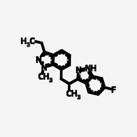 CCc1nn(C)c2c(CC(C)c3n[nH]c4cc(F)ccc34)cccc12